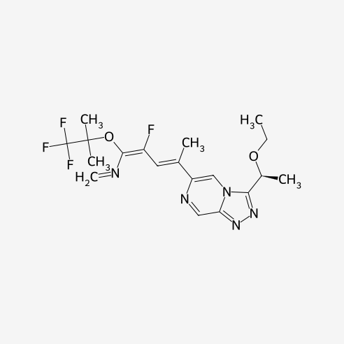 C=N/C(OC(C)(C)C(F)(F)F)=C(F)\C=C(/C)c1cn2c([C@H](C)OCC)nnc2cn1